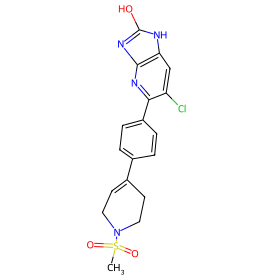 CS(=O)(=O)N1CC=C(c2ccc(-c3nc4nc(O)[nH]c4cc3Cl)cc2)CC1